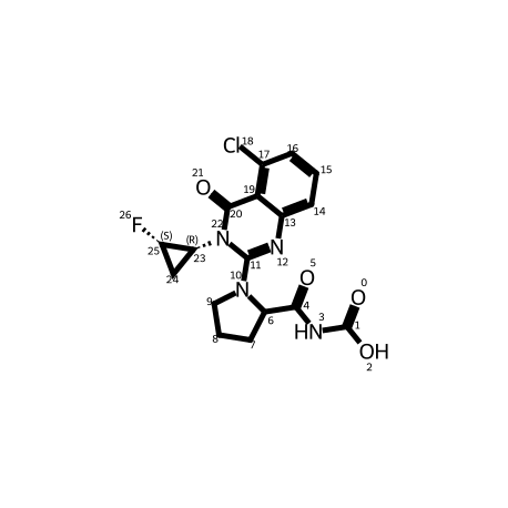 O=C(O)NC(=O)C1CCCN1c1nc2cccc(Cl)c2c(=O)n1[C@@H]1C[C@@H]1F